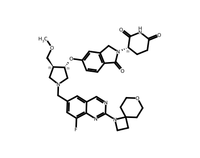 COC[C@@H]1CN(Cc2cc(F)c3nc(N4CCC45CCOCC5)ncc3c2)C[C@H]1Oc1ccc2c(c1)CN([C@H]1CCC(=O)NC1=O)C2=O